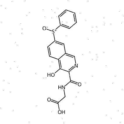 O=C(O)CNC(=O)c1ncc2cc([S+]([O-])c3ccccc3)ccc2c1O